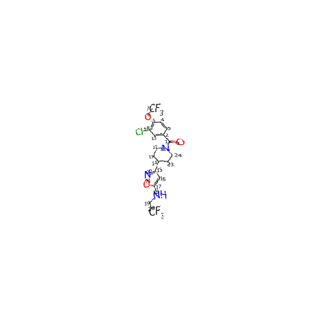 O=C(c1ccc(OC(F)(F)F)c(Cl)c1)N1CCC(c2cc(NCC(F)(F)F)on2)CC1